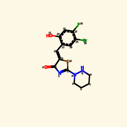 O=C1N=C(N2CCCCN2)SC1=Cc1cc(Br)c(F)cc1O